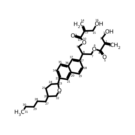 C=C(CO)C(=O)OCC(COC(=O)C(=C)CO)c1ccc2cc(C3CCC(CCCCC)CO3)ccc2c1